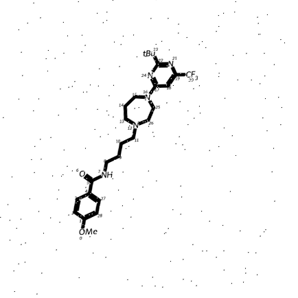 COc1ccc(C(=O)NCCCCN2CCCN(c3cc(C(F)(F)F)nc(C(C)(C)C)n3)CC2)cc1